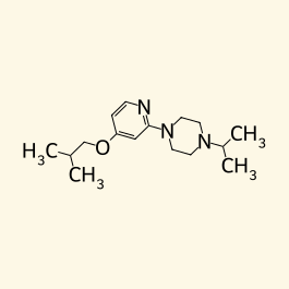 CC(C)COc1ccnc(N2CCN(C(C)C)CC2)c1